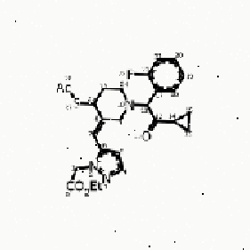 CCOC(=O)Cn1nccc1C=C1CN(C(C(=O)C2CC2)c2ccccc2F)CCC1SC(C)=O